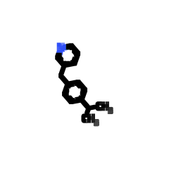 CC(C)c1ccc(Cc2cccnc2)cc1